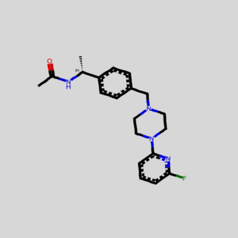 CC(=O)N[C@H](C)c1ccc(CN2CCN(c3cccc(F)n3)CC2)cc1